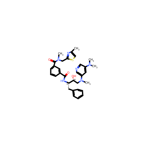 Cc1csc(CN(C)C(=O)c2cccc(C(=O)N[C@@H](Cc3ccccc3)[C@H](O)CN(C)c3cncc(N(C)C)c3)c2)n1